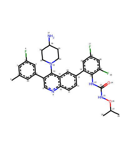 Cc1cc(F)cc(-c2cnc3ccc(-c4cc(F)cc(F)c4NC(=O)NOC(C)C)cc3c2N2CCC(N)CC2)c1